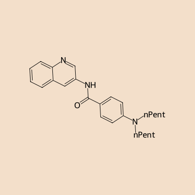 CCCCCN(CCCCC)c1ccc(C(=O)Nc2cnc3ccccc3c2)cc1